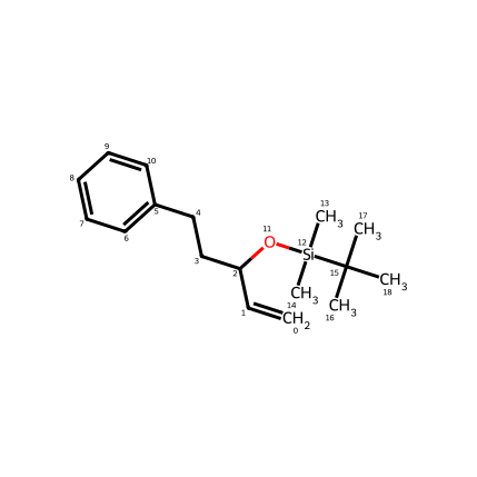 C=CC(CCc1ccccc1)O[Si](C)(C)C(C)(C)C